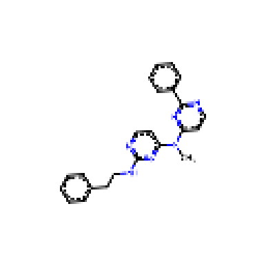 CN(c1ccnc(NCCc2ccccc2)n1)c1ccnc(-c2ccccc2)n1